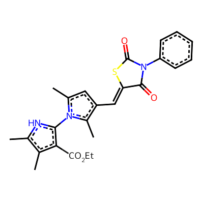 CCOC(=O)c1c(-n2c(C)cc(C=C3SC(=O)N(c4ccccc4)C3=O)c2C)[nH]c(C)c1C